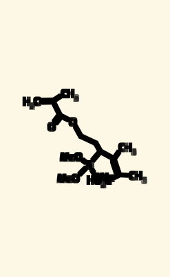 C=C(C)C(=O)OCCC(C(C)=C(C)C(=O)O)[Si](OC)(OC)OC